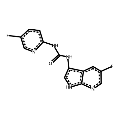 O=C(Nc1ccc(F)cn1)Nc1c[nH]c2ncc(F)cc12